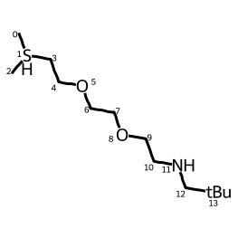 C[SH](C)CCOCCOCCNCC(C)(C)C